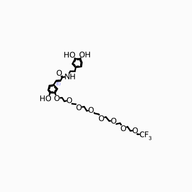 O=C(/C=C/c1ccc(O)c(OCCOCCOCCOCCOCCOCCOCCOCC(F)(F)F)c1)NCCc1ccc(O)c(O)c1